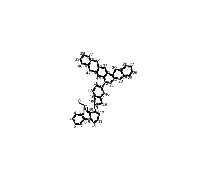 CCn1c2ccccc2c2cccc(-n3cc4ccc(-c5cc6cc7ccccc7cc6c6cc7cc8ccccc8cc7cc56)cc4c3)c21